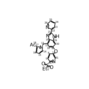 CCS(=O)(=O)c1ccc(Oc2cc(Cn3cccc3C(C)=O)c3nc(-c4ccccn4)[nH]c3c2)cn1